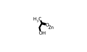 CC(=O)CO.[Zn]